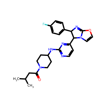 CC(C)CC(=O)N1CCC(Nc2nccc(C3C(c4ccc(F)cc4)N=C4OC=CN43)n2)CC1